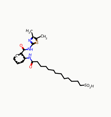 Cc1nc(NC(=O)c2ccccc2NC(=O)CCCCCCCCCCCCS(=O)(=O)O)sc1C